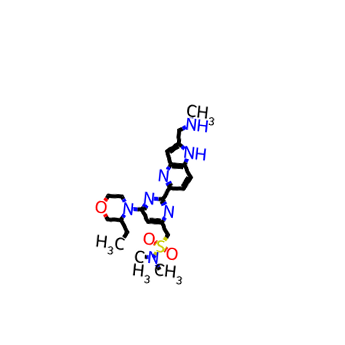 CCC1COCCN1c1cc(CS(=O)(=O)N(C)C)nc(-c2ccc3[nH]c(CNC)cc3n2)n1